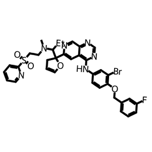 CCC(N(C)CCS(=O)(=O)c1ccccn1)C1(c2cc3c(Nc4ccc(OCc5cccc(F)c5)c(Br)c4)ncnc3cn2)CC=CO1